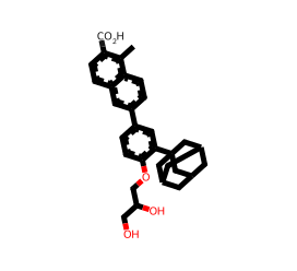 Cc1c(C(=O)O)ccc2cc(-c3ccc(OCC(O)CO)c(C45CC6CC(CC(C6)C4)C5)c3)ccc12